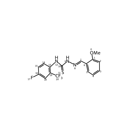 COc1ccccc1/C=N/NC(=S)Nc1ccc(F)cc1C(F)(F)F